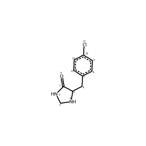 O=C1NCNC1Cc1ccc(Cl)cc1